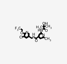 Cc1cc(C(=O)NCc2cnc(OCC(F)(F)F)c(Cl)c2)cc(NC(=O)C(C)(C)O)n1